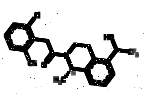 C[C@H]1c2cccc(C(O)C(F)(F)F)c2CCN1C(=O)Cc1c(Cl)cccc1C#N